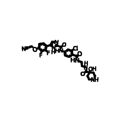 N#CCOc1ccc(-c2cnc(C(=O)Nc3ccc(C(=O)NCCNC(=O)C4(O)CCNCC4)c(Cl)c3)[nH]2)c(F)c1F